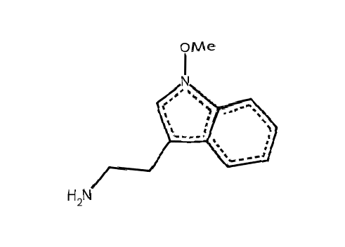 COn1cc(CCN)c2ccccc21